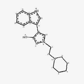 Oc1nn(CCN2CCCCC2)cc1-c1c[nH]c2ccccc12